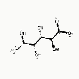 C[C@H](O)[C@@H](O)[C@H](O)[C@H](O)C(O)Cl